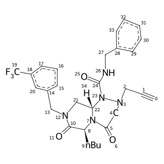 C#CCN1CC(=O)N2[C@@H](CCCC)C(=O)N(Cc3cccc(C(F)(F)F)c3)C[C@@H]2N1C(=O)NCc1ccccc1